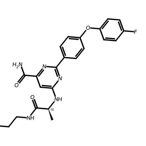 C[C@H](Nc1cc(C(N)=O)nc(-c2ccc(Oc3ccc(F)cc3)cc2)n1)C(=O)NCCO